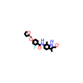 Cc1c(C=O)[nH]c2c(C)c(NC(=O)c3ccc(OC[C@@H]4CCCO4)cc3F)ccc12